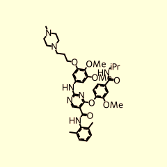 COc1cc(C(=O)NC(C)C)ccc1Oc1nc(Nc2cc(OC)c(OC)c(OCCCN3CCN(C)CC3)c2)ncc1C(=O)Nc1c(C)cccc1C